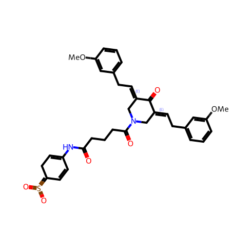 COc1cccc(C/C=C2\CN(C(=O)CCCC(=O)NC3=CCC(=S(=O)=O)C=C3)C/C(=C\Cc3cccc(OC)c3)C2=O)c1